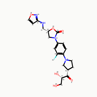 O=C([C@H]1CCN(c2ccc(N3C[C@H](CNc4ccon4)OC3=O)cc2F)C1)[C@@H](O)CO